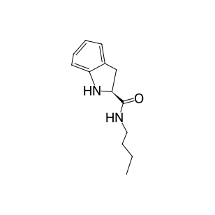 CCCCNC(=O)[C@@H]1Cc2ccccc2N1